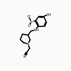 N#CCN1CCCC(CNc2ccc(S)cc2[N+](=O)[O-])C1